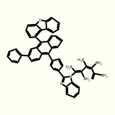 BC(=C)/C(B)=C(B)\C(B)=C(/B)n1c(-c2ccc(-c3c4ccccc4c(-c4cccc5oc6ccccc6c45)c4cc(-c5ccccc5)ccc34)cc2)nc2ccccc21